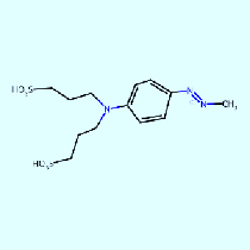 C/N=N/c1ccc(N(CCCS(=O)(=O)O)CCCS(=O)(=O)O)cc1